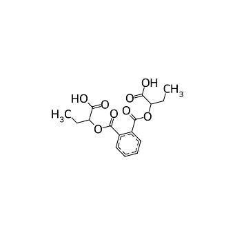 CCC(OC(=O)c1ccccc1C(=O)OC(CC)C(=O)O)C(=O)O